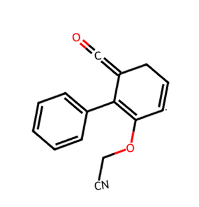 N#CCOC1=C(c2ccccc2)C(=C=O)CC=[C]1